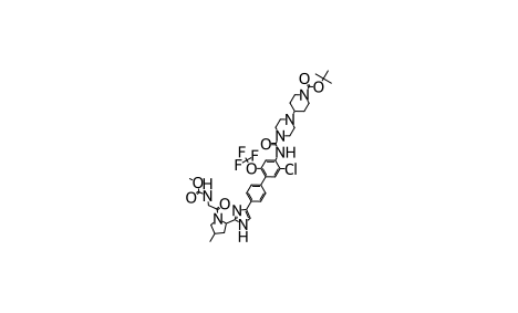 COC(=O)NCC(=O)N1CC(C)CC1c1nc(-c2ccc(-c3cc(Cl)c(NC(=O)N4CCN(C5CCN(C(=O)OC(C)(C)C)CC5)CC4)cc3OC(F)(F)F)cc2)c[nH]1